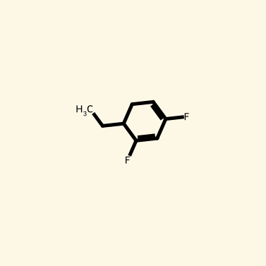 CCC1CC=C(F)C=C1F